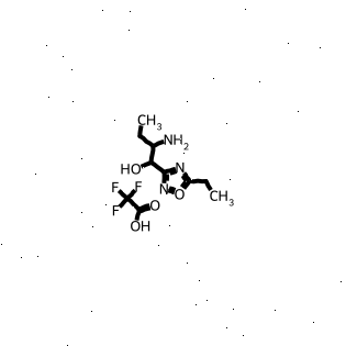 CCc1nc(C(O)C(N)CC)no1.O=C(O)C(F)(F)F